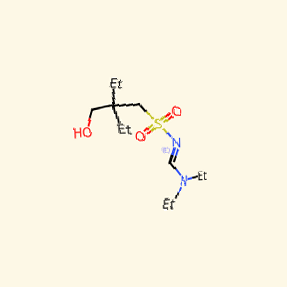 CCN(/C=N/S(=O)(=O)CC(CC)(CC)CO)CC